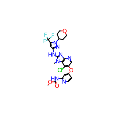 COC(=O)Nc1cc(Oc2cnc3nc(Nc4cc(C(F)(F)F)n(C5CCOCC5)n4)n(C)c3c2Cl)ccn1